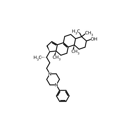 C[C@@H](CCN1CCN(c2ccccc2)CC1)[C@H]1CC=C2C3=C(CC[C@@]21C)[C@@]1(C)CCC(O)C(C)(C)C1CC3